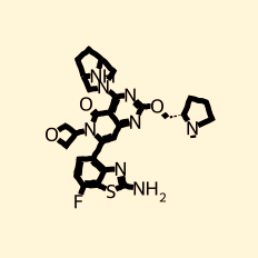 CN1CCC[C@H]1COc1nc(N2CC3CCC(C2)N3)c2c(=O)n(C3COC3)c(-c3ccc(F)c4sc(N)nc34)cc2n1